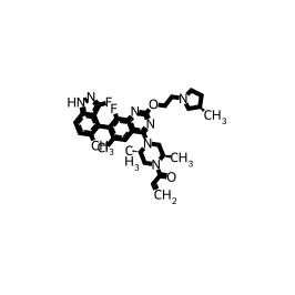 C=CC(=O)N1C[C@H](C)N(c2nc(OCCN3CC[C@@H](C)C3)nc3c(F)c(-c4c(C)ccc5[nH]nc(F)c45)c(Cl)cc23)C[C@H]1C